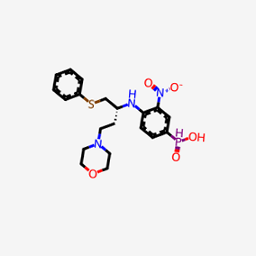 O=[N+]([O-])c1cc([PH](=O)O)ccc1N[C@H](CCN1CCOCC1)CSc1ccccc1